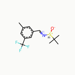 Cc1cc(/C=N/[S@@+]([O-])C(C)(C)C)cc(C(F)(F)F)c1